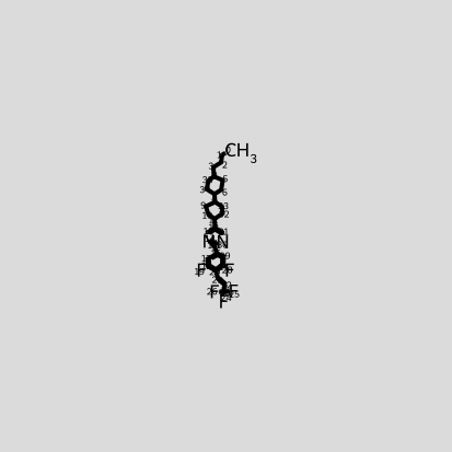 CCCCC1CCC(C2CCC(c3cnc(-c4cc(F)c(/C=C/C(F)(F)F)c(F)c4)nc3)CC2)CC1